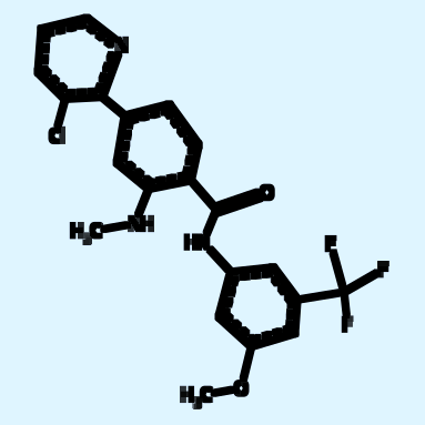 CNc1cc(-c2ncccc2Cl)ccc1C(=O)Nc1cc(OC)cc(C(F)(F)F)c1